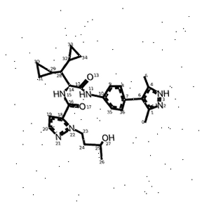 Cc1n[nH]c(C)c1-c1ccc(NC(=O)[C@@H](NC(=O)c2ccnn2CCC(C)O)C(C2CC2)C2CC2)cc1